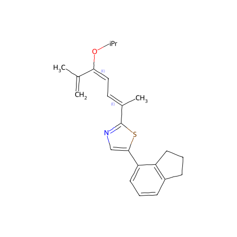 C=C(C)/C(=C\C=C(/C)c1ncc(-c2cccc3c2CCC3)s1)OC(C)C